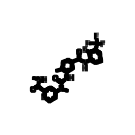 CNC(=O)c1cc(N(C)C(=O)Nc2cc(C(=O)Nc3cccc(C(F)(F)F)c3F)ccc2C)ccn1